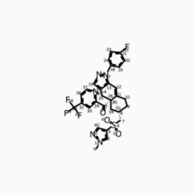 Cn1cc(S(=O)(=O)C[C@H]2CCC3=Cc4c(cnn4-c4ccc(F)cc4)C[C@]3(C(=O)c3cc(C(F)(F)F)ccn3)C2)cn1